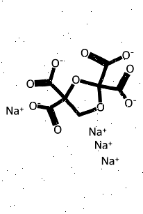 O=C([O-])C1(C(=O)[O-])COC(C(=O)[O-])(C(=O)[O-])O1.[Na+].[Na+].[Na+].[Na+]